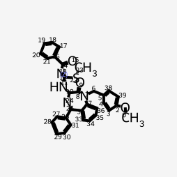 COc1ccc(CN2C(=O)C(N/C(=N/C(=O)c3ccccc3)SC)N=C(c3ccccc3)c3ccccc32)cc1